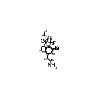 CCOP(=O)(OCC)C(F)(F)c1ccc(CCN)cc1Br